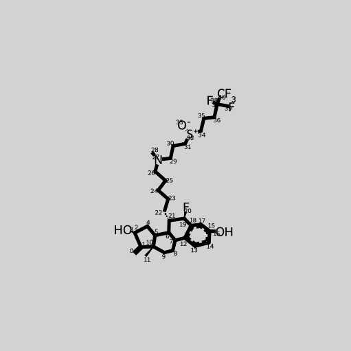 C=C1[C@H](O)CC2C3C(CC[C@]12C)c1ccc(O)cc1[C@H](F)[C@H]3CCCCCN(C)CCC[S+]([O-])CCCC(F)(F)C(F)(F)F